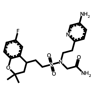 CC1(C)CC(CCS(=O)(=O)N(CCc2ccc(N)cn2)CC(N)=O)c2cc(F)ccc2O1